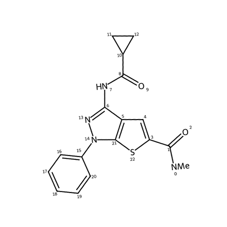 CNC(=O)c1cc2c(NC(=O)C3CC3)nn(-c3ccccc3)c2s1